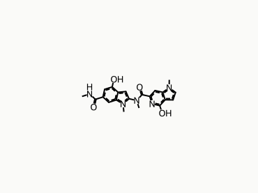 CNC(=O)c1cc(O)c2cc(N(C)C(=O)c3cc4c(ccn4C)c(O)n3)n(C)c2c1